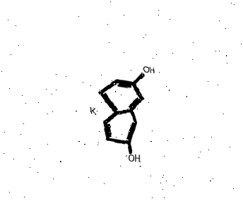 Oc1ccc2ccc(O)cc2c1.[K]